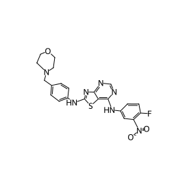 O=[N+]([O-])c1cc(Nc2ncnc3nc(Nc4ccc(CN5CCOCC5)cc4)sc23)ccc1F